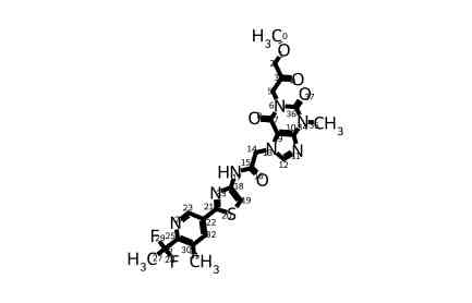 COCC(=O)Cn1c(=O)c2c(ncn2CC(=O)Nc2csc(-c3cnc(C(C)(F)F)c(C)c3)n2)n(C)c1=O